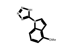 COc1c[c]cc2c1ccn2-c1nnn[nH]1